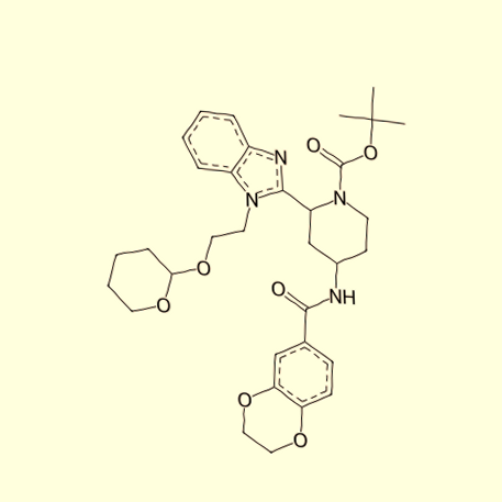 CC(C)(C)OC(=O)N1CCC(NC(=O)c2ccc3c(c2)OCCO3)CC1c1nc2ccccc2n1CCOC1CCCCO1